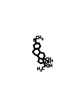 COC1=CCC2=C(CCC3C2CCC2(C)C3CC[C@]2(O)C(C)O)C1